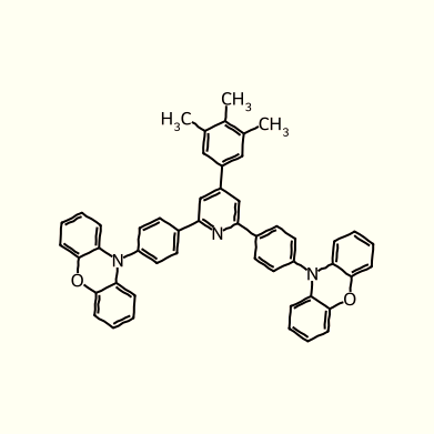 Cc1cc(-c2cc(-c3ccc(N4c5ccccc5Oc5ccccc54)cc3)nc(-c3ccc(N4c5ccccc5Oc5ccccc54)cc3)c2)cc(C)c1C